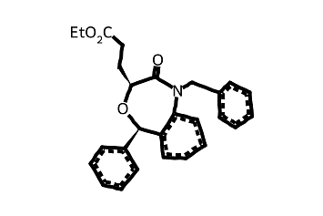 CCOC(=O)CC[C@@H]1O[C@H](c2ccccc2)c2ccccc2N(Cc2ccccc2)C1=O